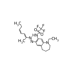 CC/C=C\C=C(/C)N=Nc1cc2c(cc1NS(=O)(=O)C(F)(F)F)N(CC)CCCC2